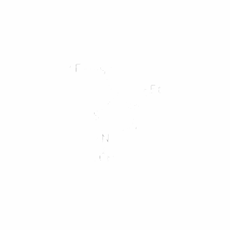 CCC1=C(SF)SN(C)C1